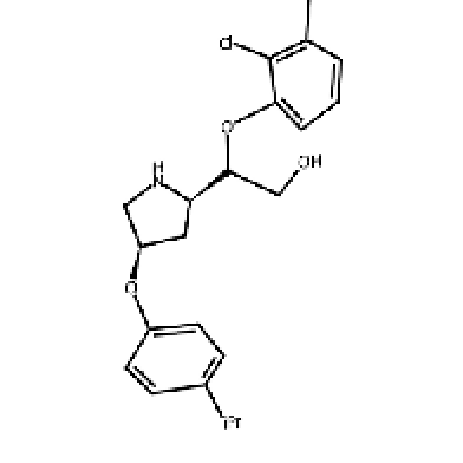 CC(C)c1ccc(O[C@H]2CN[C@@H](C(CO)Oc3cccc(Cl)c3Cl)C2)cc1